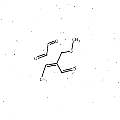 C/C=C(\C=O)CSC.O=CC=O